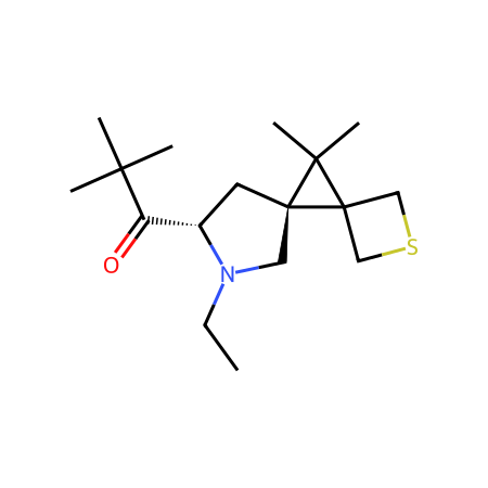 CCN1C[C@@]2(C[C@H]1C(=O)C(C)(C)C)C(C)(C)C21CSC1